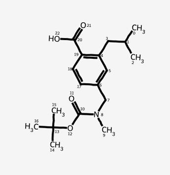 CC(C)Cc1cc(CN(C)C(=O)OC(C)(C)C)ccc1C(=O)O